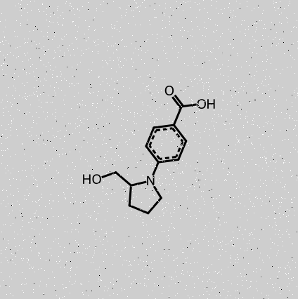 O=C(O)c1ccc(N2CCCC2CO)cc1